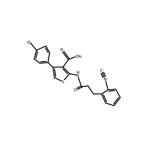 [C-]#[N+]c1ccccc1CCC(=O)Nc1scc(-c2ccc(Cl)cc2)c1C(=O)O